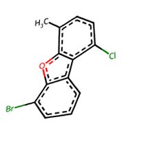 Cc1ccc(Cl)c2c1oc1c(Br)cccc12